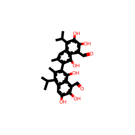 Cc1cc2c(C(C)C)c(O)c(O)c(C=O)c2c(O)c1-c1c(C)c(C(C)C)c2cc(O)c(O)c(C=O)c2c1O